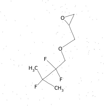 CC(C)(F)C(F)(F)COCC1CO1